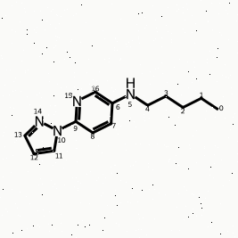 CCCCCNc1ccc(-n2cccn2)nc1